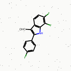 O=Cc1c(-c2ccc(F)cc2)[nH]c2c(F)c(F)ccc12